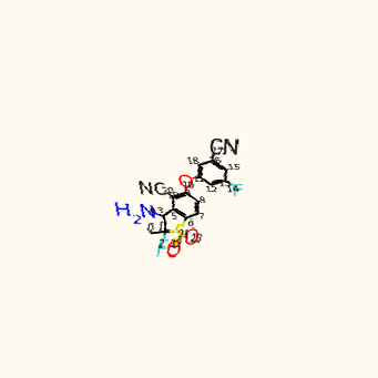 CC1(F)C(N)c2c(ccc(Oc3cc(F)cc(C#N)c3)c2C#N)S1(=O)=O